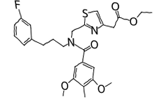 CCOC(=O)Cc1csc(CN(CCCc2cccc(F)c2)C(=O)c2cc(OC)c(C)c(OC)c2)n1